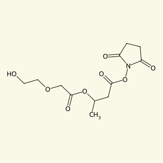 CC(CC(=O)ON1C(=O)CCC1=O)OC(=O)COCCO